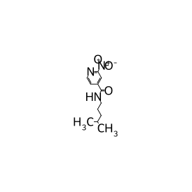 CC(C)CCCNC(=O)c1ccnc([N+](=O)[O-])c1